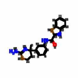 CC1(c2cccc(NC(=O)c3nc4ccccc4s3)c2)CCSC(N)=N1